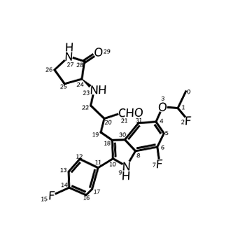 CC(F)Oc1cc(F)c2[nH]c(-c3ccc(F)cc3)c(CC(C=O)CN[C@H]3CCNC3=O)c2c1